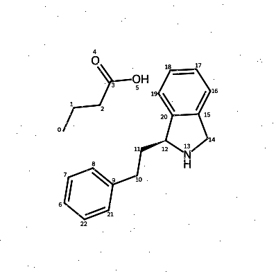 CCCC(=O)O.c1ccc(CC[C@@H]2NCc3ccccc32)cc1